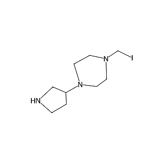 ICN1CCN(C2CCNC2)CC1